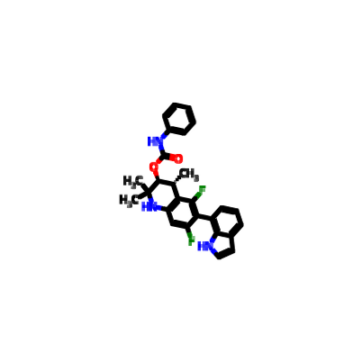 C[C@@H]1c2c(cc(F)c(-c3cccc4cc[nH]c34)c2F)NC(C)(C)[C@H]1OC(=O)Nc1ccccc1